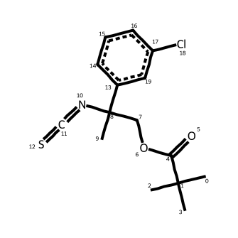 CC(C)(C)C(=O)OCC(C)(N=C=S)c1cccc(Cl)c1